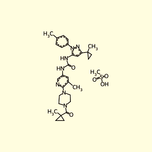 CS(=O)(=O)O.Cc1ccc(-n2nc(C3(C)CC3)cc2NC(=O)Nc2cnc(N3CCN(C(=O)C4(C)CC4)CC3)c(C)c2)cc1